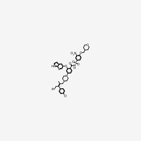 C/C(CN1CCN(c2ccc(C(=O)NS(=O)(=O)c3ccc(OCC4CCOCC4)c([N+](=O)[O-])c3)c(Oc3cnc4[nH]ccc4c3)c2)CC1)=C(\CC(C)C)c1ccc(Cl)cc1